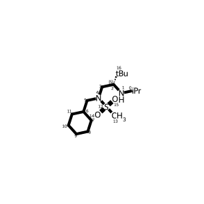 CC(C)N[C@H](CN(CC1CCCCC1)S(C)(=O)=O)C(C)(C)C